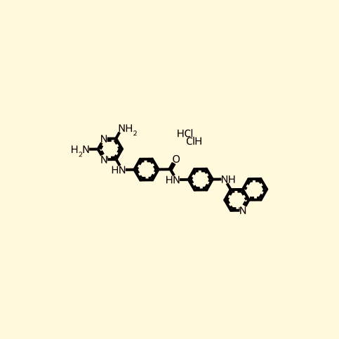 Cl.Cl.Nc1cc(Nc2ccc(C(=O)Nc3ccc(Nc4ccnc5ccccc45)cc3)cc2)nc(N)n1